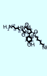 NCCCCCNC(=O)[C@@H]1C[C@@H]2C(=O)N[C@@H](CCCCN)C(=O)N2[C@@H]1c1ccc(O)cc1